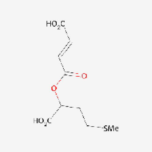 CSCCC(OC(=O)/C=C/C(=O)O)C(=O)O